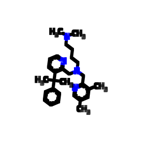 Cc1cnc(CN(CCCCN(C)C)Cc2ncccc2C(C)(C)c2ccccc2)c(C)c1